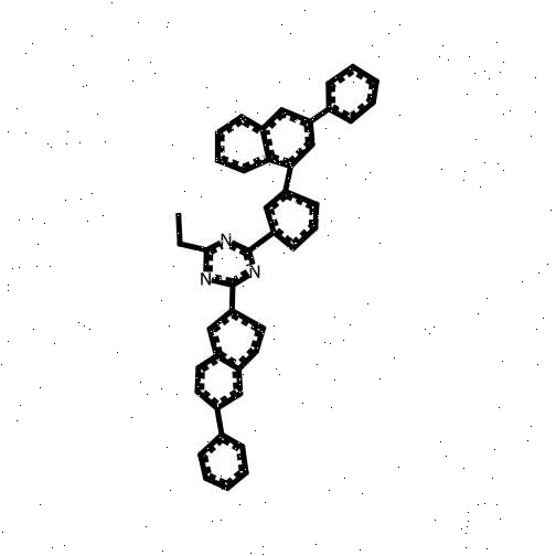 CCc1nc(-c2cccc(-c3cc(-c4ccccc4)cc4ccccc34)c2)nc(-c2ccc3cc(-c4ccccc4)ccc3c2)n1